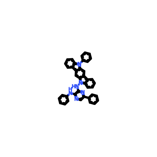 c1ccc(Nc2ncc(-c3ccccc3)nc2Nn2c3ccccc3c3cc4c(cc32)c2ccccc2n4-c2ccccc2)cc1